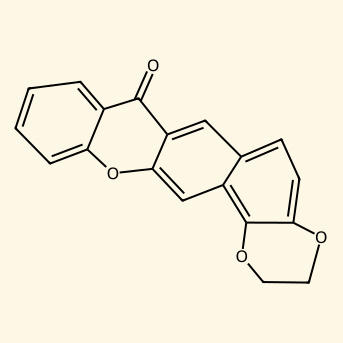 O=c1c2ccccc2oc2cc3c4c(ccc3cc12)OCCO4